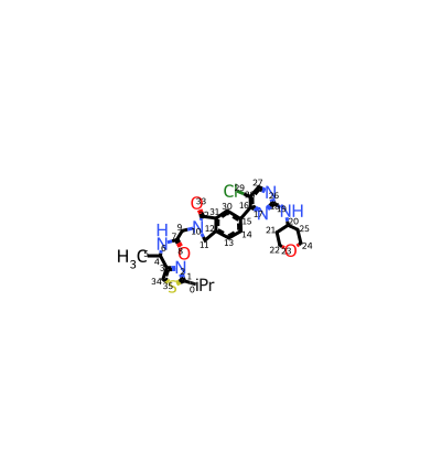 CC(C)c1nc(C(C)NC(=O)CN2Cc3ccc(-c4nc(NC5CCOCC5)ncc4Cl)cc3C2=O)cs1